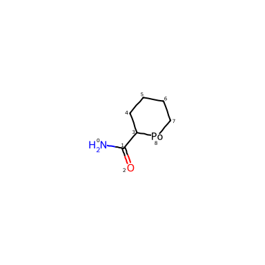 NC(=O)[CH]1CCC[CH2][Po]1